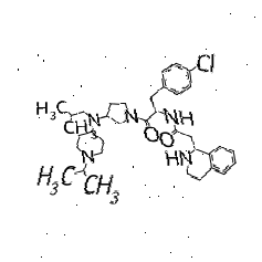 CC(C)CN(C1CCN(C(C)C)CC1)C1CCN(C(=O)[C@@H](Cc2ccc(Cl)cc2)NC(=O)CC2NCCc3ccccc32)C1